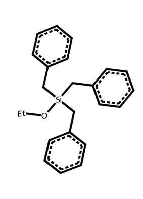 CCO[Si](Cc1ccccc1)(Cc1ccccc1)Cc1ccccc1